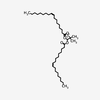 CCCCCCCC/C=C\CCCCCCCC(=O)OC(OC(=O)CCCCCCC/C=C\CCCCCCCC)C(C)(C)C